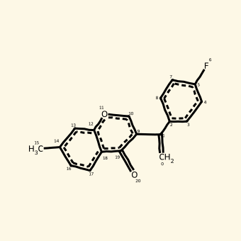 C=C(c1ccc(F)cc1)c1coc2cc(C)ccc2c1=O